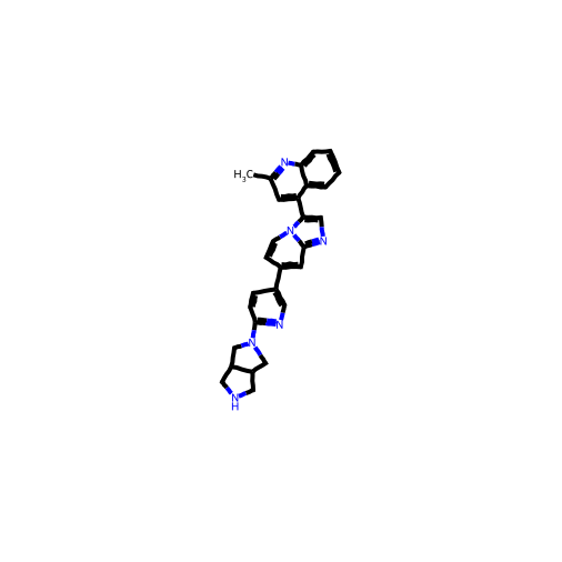 Cc1cc(-c2cnc3cc(-c4ccc(N5CC6CNCC6C5)nc4)ccn23)c2ccccc2n1